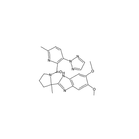 COc1cc2nc(C3(C)CCCN3C(=O)c3nc(C)ccc3-n3nccn3)[nH]c2cc1OC